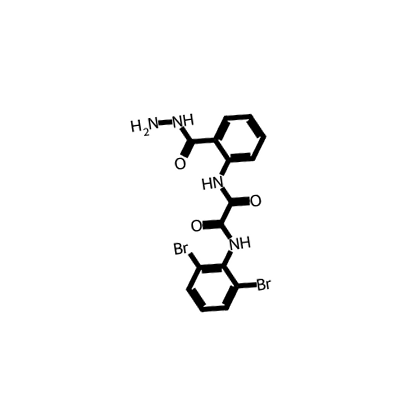 NNC(=O)c1ccccc1NC(=O)C(=O)Nc1c(Br)cccc1Br